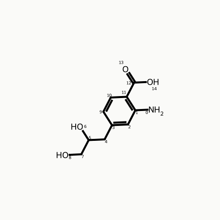 Nc1cc(CC(O)CO)ccc1C(=O)O